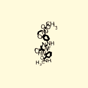 CNC(=O)c1cccc(F)c1Nc1nc(Nc2ccc3c(c2)OCCCN3OC(=O)OC)ncc1Cl